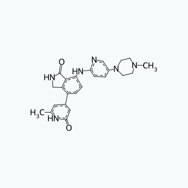 Cc1cc(-c2ccc(Nc3ccc(N4CCN(C)CC4)cn3)c3c2CNC3=O)cc(=O)[nH]1